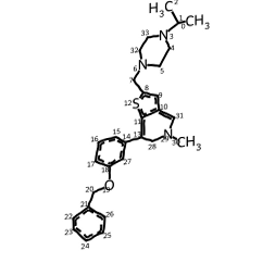 CC(C)N1CCN(Cc2cc3c(s2)=C(c2cccc(OCc4ccccc4)c2)CN(C)C=3)CC1